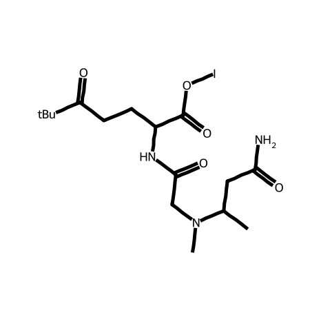 CC(CC(N)=O)N(C)CC(=O)NC(CCC(=O)C(C)(C)C)C(=O)OI